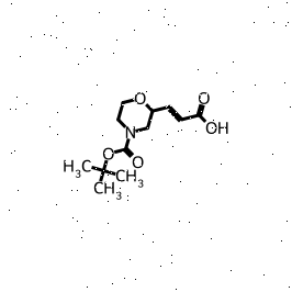 CC(C)(C)OC(=O)N1CCOC(C=CC(=O)O)C1